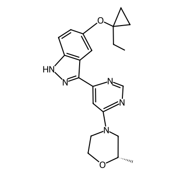 CCC1(Oc2ccc3[nH]nc(-c4cc(N5CCO[C@@H](C)C5)ncn4)c3c2)CC1